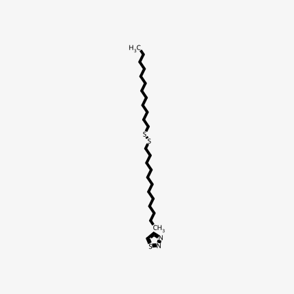 CCCCCCCCCCCCSSCCCCCCCCCCCC.c1csnn1